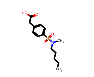 CCCCCN(C)S(=O)(=O)c1ccc(CC(=O)O)cc1